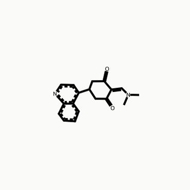 CN(C)C=C1C(=O)CC(c2ccnc3ccccc23)CC1=O